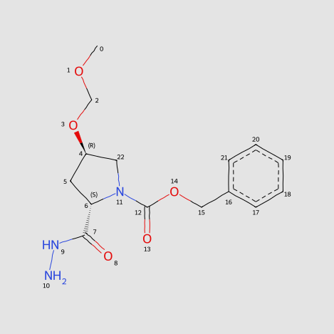 COCO[C@@H]1C[C@@H](C(=O)NN)N(C(=O)OCc2ccccc2)C1